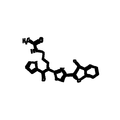 CC(=O)NCCCN(C(=O)c1cccs1)c1nc(C2Oc3ccccc3C2=O)cs1